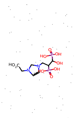 O=C(O)CN1C=CN(CC(C(O)P(=O)(O)O)P(=O)(O)O)C1